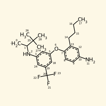 [CH2]C(Nc1cc(Oc2ccc(N)cc2CCCC)cc(C(F)(F)F)c1)C(C)(C)C